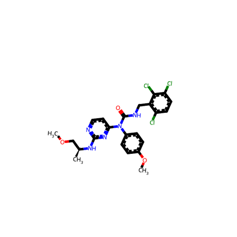 COC[C@H](C)Nc1nccc(N(C(=O)NCc2c(Cl)ccc(Cl)c2Cl)c2ccc(OC)cc2)n1